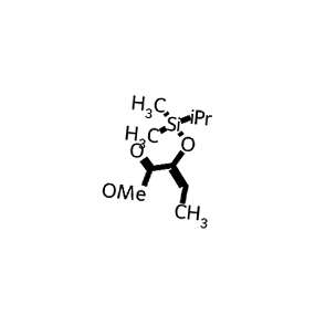 CC=C(O[Si](C)(C)C(C)C)C(=O)OC